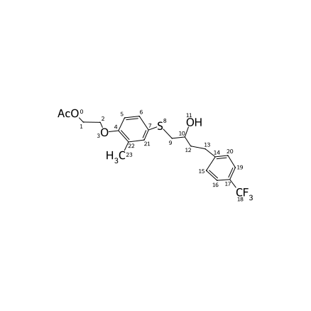 CC(=O)OCCOc1ccc(SCC(O)CCc2ccc(C(F)(F)F)cc2)cc1C